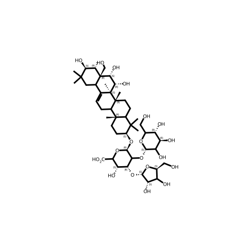 C[C@H]1[C@H](O)C(C)(C)CC2C3=CCC4[C@@]5(C)CC[C@H](O[C@@H]6OC(C(=O)O)[C@@H](O)[C@@H](O[C@@H]7O[C@@H](CO)C(O)[C@@H]7O)C6O[C@@H]6OC(CO)[C@H](O)[C@@H](O)C6O)C(C)(C)C5CC[C@@]4(C)[C@]3(C)[C@@H](O)[C@@H](O)[C@]21CO